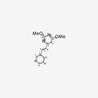 COc1cc(/C=C/c2ccccc2)nc(OC)n1